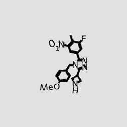 COc1ccc(Cn2c(-c3cc(F)c(C)c([N+](=O)[O-])c3)nnc2C2CNC2)cc1